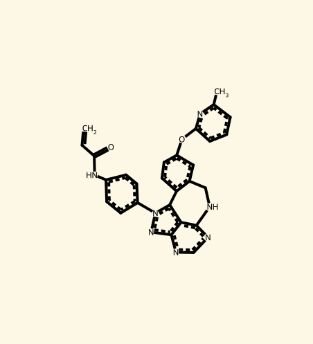 C=CC(=O)Nc1ccc(-n2nc3ncnc4c3c2-c2ccc(Oc3cccc(C)n3)cc2CN4)cc1